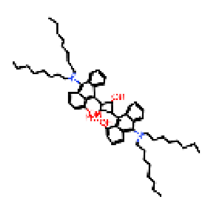 CCCCCCCCN(CCCCCCCC)c1c2ccccc2c(C2C(O)C(c3c4ccccc4c(N(CCCCCCCC)CCCCCCCC)c4cccc(O)c34)C2O)c2c(O)cccc12